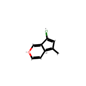 [CH2]c1cc(Cl)c2coccc1-2